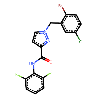 O=C(Nc1c(F)cccc1F)c1ccn(Cc2cc(Cl)ccc2Br)n1